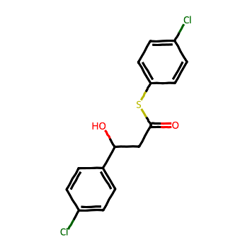 O=C(CC(O)c1ccc(Cl)cc1)Sc1ccc(Cl)cc1